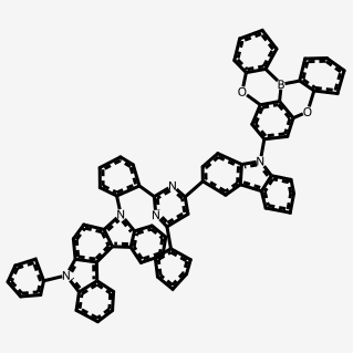 c1ccc(-c2cc(-c3ccc4c(c3)c3ccccc3n4-c3cc4c5c(c3)Oc3ccccc3B5c3ccccc3O4)nc(-c3ccccc3-n3c4ccccc4c4c5c6ccccc6n(-c6ccccc6)c5ccc43)n2)cc1